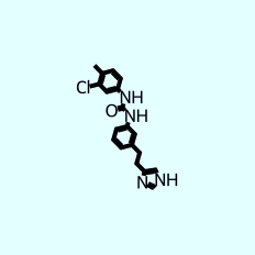 Cc1ccc(NC(=O)Nc2cccc(CCc3c[nH]cn3)c2)cc1Cl